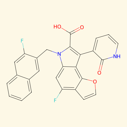 O=C(O)c1c(-c2ccc[nH]c2=O)c2c3occc3c(F)cc2n1Cc1cc2ccccc2cc1F